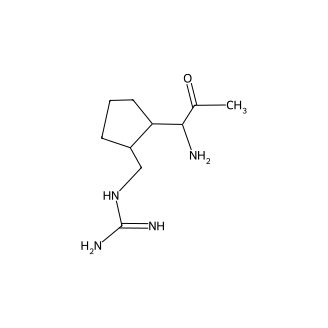 CC(=O)C(N)C1CCCC1CNC(=N)N